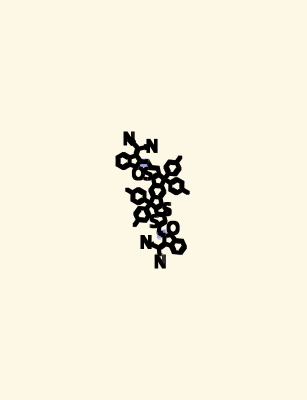 Cc1ccc(C2(c3ccc(C)cc3)c3cc4c(cc3-c3sc(/C=C5\C(=O)c6ccccc6C5=C(C#N)C#N)cc32)C(c2ccc(C)cc2)(c2ccc(C)cc2)c2c-4sc3cc(/C=C4\C(=O)c5ccccc5C4=C(C#N)C#N)sc23)cc1